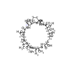 C=C1/C(=C\C)NC(=O)[C@]2(C)CCC(=N2)[C@@H]2C[C@@H](C)N2C(=O)[C@@H](CC(C)C)NC(=C)[C@H](C)NC(=O)[C@@H](O)CCC(=O)[C@H](C(C)C)C(C)C(=O)[C@H](C(=O)O)NC(=O)[C@]2(C)CCCCC12